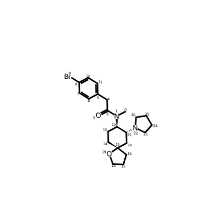 CN(C(=O)Cc1ccc(Br)cc1)[C@@H]1CC[C@]2(CCCO2)C[C@H]1N1CCCC1